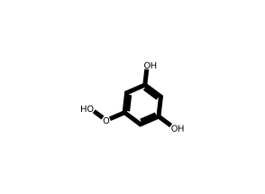 OOc1cc(O)cc(O)c1